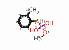 COP(O)(O)=[SH]c1ccccc1C